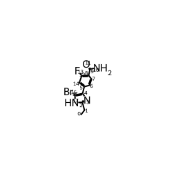 CCc1nc(-c2ccc(C(N)=O)c(F)c2)c(Br)[nH]1